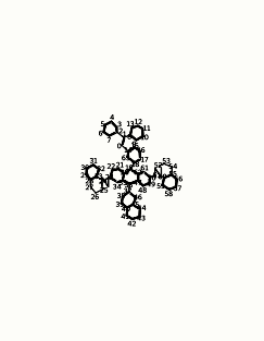 C(=C(c1ccccc1)c1ccccc1)c1cccc(-c2c3ccc(N4CCCc5ccccc54)cc3c(-c3ccc4ccccc4c3)c3ccc(N4CCCc5ccccc54)cc23)c1